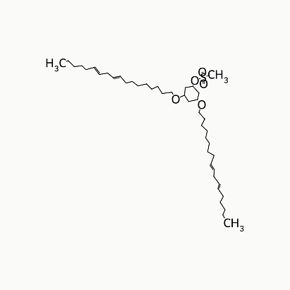 CCCCCC=CCC=CCCCCCCCCOC1CC(OCCCCCCCCC=CCC=CCCCCC)CC(OS(C)(=O)=O)C1